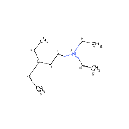 CCC(CC)CCN(CC)CC